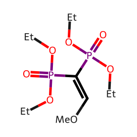 CCOP(=O)(OCC)C(=COC)P(=O)(OCC)OCC